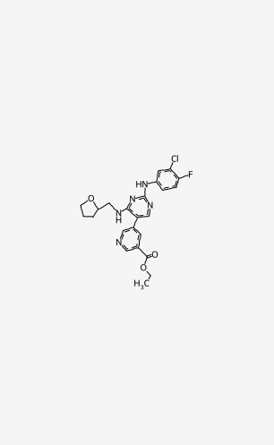 CCOC(=O)c1cncc(-c2cnc(Nc3ccc(F)c(Cl)c3)nc2NCC2CCCO2)c1